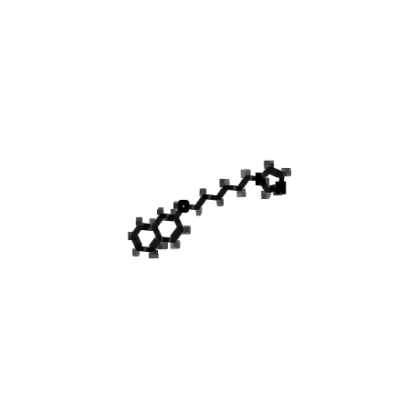 c1ccc2cc(OCCCCCCn3ccnc3)ccc2c1